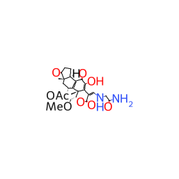 COC[C@H]1OC(=O)/C(=C\NCC(N)=O)C2=C(O)C(=O)C3=C([C@H](OC(C)=O)C[C@]4(C)C(=O)CC[C@@H]34)[C@]21C